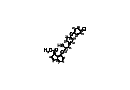 CC(=O)n1ccc2cccc(OCC(O)CN3CCC(Oc4ccc(Cl)cc4)CC3)c21